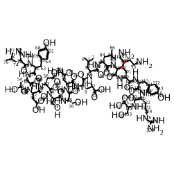 CC(C)CC(NC(=O)[C@H](CCC(=O)O)NC(=O)C(CC(N)=O)NC(=O)[C@H](CO)NC(=O)C(CO)NC(=O)[C@H](CC(=O)O)NC(=O)C(CC(=O)O)NC(=O)[C@H](CC(=O)O)NC(=O)C(Cc1ccc(O)cc1)NC(=O)[C@H](CC(C)C)NN)C(=O)N[C@@H](CC(C)C)C(=O)NC(CCCCN)C(=O)N[C@@H](CCCCN)C(=O)NC(Cc1ccc(O)cc1)C(=O)N[C@@H](CCCNC(=N)N)C(=O)NC(CO)C(=O)O